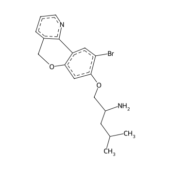 CC(C)CC(N)COc1cc2c(cc1Br)-c1ncccc1CO2